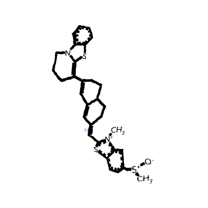 C[n+]1c(/C=C2/C=C3C=C(C4=C5Sc6ccccc6N5CCC4)CCC3CC2)sc2ccc([S+](C)[O-])cc21